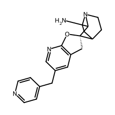 NC1N2CCC(CC2)[C@]12Cc1cc(Cc3ccncc3)cnc1O2